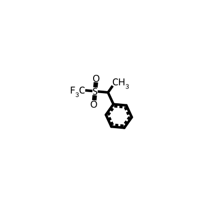 CC(c1ccccc1)S(=O)(=O)C(F)(F)F